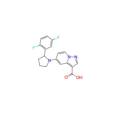 O=C(O)c1cnn2ccc(N3CCCC3c3cc(F)ccc3F)cc12